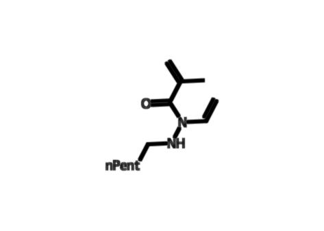 C=CN(NCCCCCC)C(=O)C(=C)C